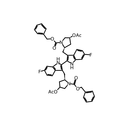 CC(=O)OC1C[C@@H](Cc2c(-c3[nH]c4cc(F)ccc4c3C[C@@H]3C[C@H](OC(C)=O)CN3C(=O)OCc3ccccc3)[nH]c3cc(F)ccc23)N(C(=O)OCc2ccccc2)C1